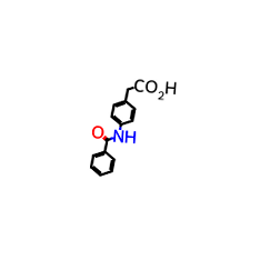 O=C(O)Cc1ccc(NC(=O)c2ccccc2)cc1